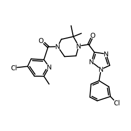 Cc1cc(Cl)cc(C(=O)N2CCN(C(=O)c3ncn(-c4cccc(Cl)c4)n3)C(C)(C)C2)n1